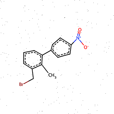 Cc1c(CBr)cccc1-c1ccc([N+](=O)[O-])cc1